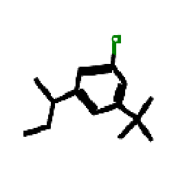 CCC(C)c1cc(Cl)cc(C(C)(C)C)c1